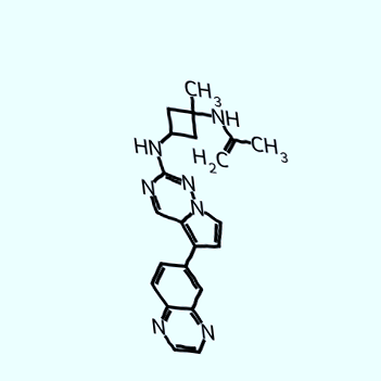 C=C(C)NC1(C)CC(Nc2ncc3c(-c4ccc5nccnc5c4)ccn3n2)C1